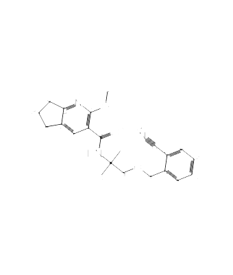 COc1nc2c(cc1C(=O)NC(C)(C)COCc1ccccc1C#N)CCC2